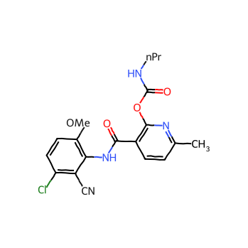 CCCNC(=O)Oc1nc(C)ccc1C(=O)Nc1c(OC)ccc(Cl)c1C#N